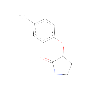 O=C1NCCC1Oc1ccc(C(F)(F)F)cc1